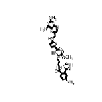 COC(=O)[C@H](CCCNC(=O)c1ccc(N)cc1-c1nn[nH]n1)NC(=O)c1ccc(NCc2cnc3nc(N)nc(N)c3n2)s1